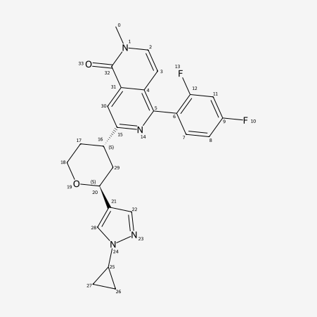 Cn1ccc2c(-c3ccc(F)cc3F)nc([C@H]3CCO[C@H](c4cnn(C5CC5)c4)C3)cc2c1=O